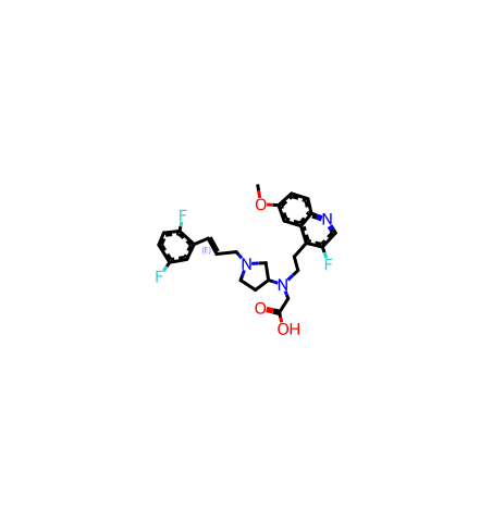 COc1ccc2ncc(F)c(CCN(CC(=O)O)C3CCN(C/C=C/c4cc(F)ccc4F)C3)c2c1